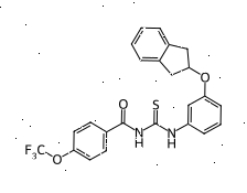 O=C(NC(=S)Nc1cccc(OC2Cc3ccccc3C2)c1)c1ccc(OC(F)(F)F)cc1